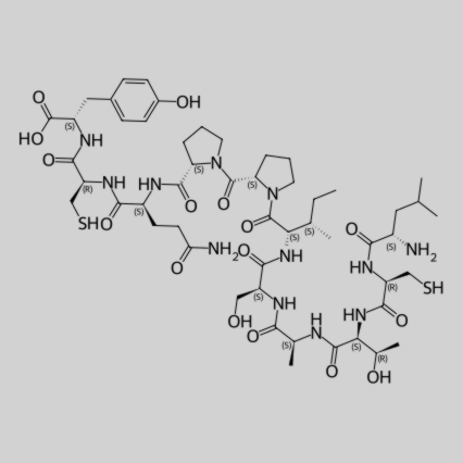 CC[C@H](C)[C@H](NC(=O)[C@H](CO)NC(=O)[C@H](C)NC(=O)[C@@H](NC(=O)[C@H](CS)NC(=O)[C@@H](N)CC(C)C)[C@@H](C)O)C(=O)N1CCC[C@H]1C(=O)N1CCC[C@H]1C(=O)N[C@@H](CCC(N)=O)C(=O)N[C@@H](CS)C(=O)N[C@@H](Cc1ccc(O)cc1)C(=O)O